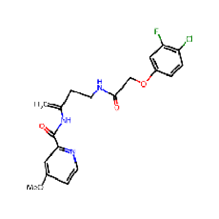 C=C(CCNC(=O)COc1ccc(Cl)c(F)c1)NC(=O)c1cc(OC)ccn1